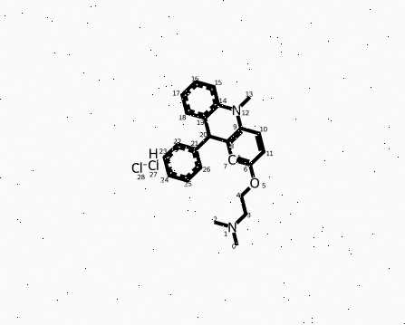 CN(C)CCOC1=[C+]C2=C(C=C1)N(C)c1ccccc1C2c1ccccc1.Cl.[Cl-]